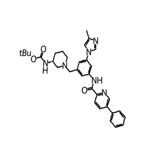 Cc1cn(-c2cc(CN3CCC[C@H](NC(=O)OC(C)(C)C)C3)cc(NC(=O)c3ccc(-c4ccccc4)cn3)c2)cn1